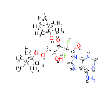 CC(C)(C)[Si](C)(C)OOC[C@@H](O)[C@@H](OO[Si](C)(C)C(C)(C)C)C(F)(F)C(=O)n1cnc2c(N)ncnc21